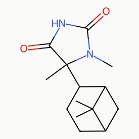 CN1C(=O)NC(=O)C1(C)C1CCC2CC1C2(C)C